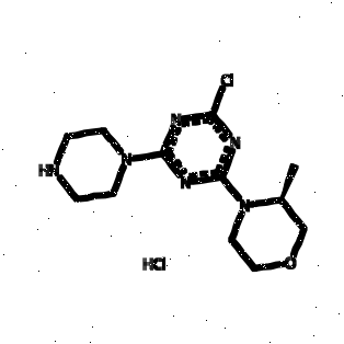 C[C@H]1COCCN1c1nc(Cl)nc(N2CCNCC2)n1.Cl